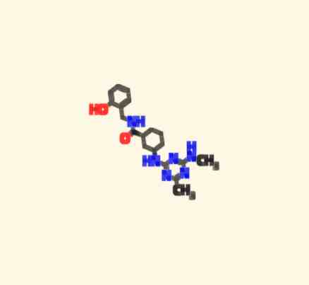 CNc1nc(C)nc(N[C@@H]2CCC[C@H](C(=O)NCc3ccccc3O)C2)n1